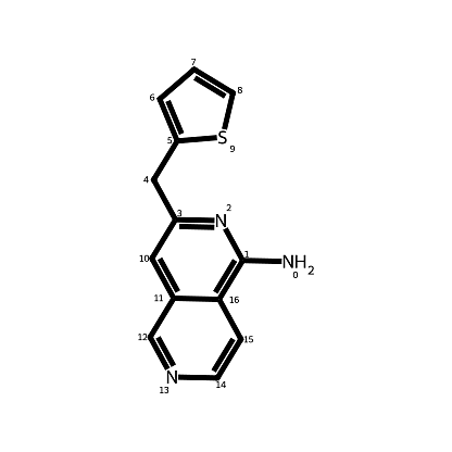 Nc1nc(Cc2cccs2)cc2cnccc12